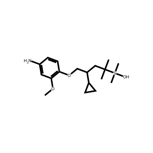 COc1cc(N)ccc1OCC(CC(C)(C)[Si](C)(C)O)C1CC1